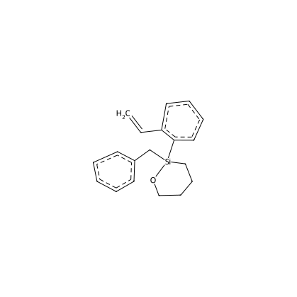 C=Cc1ccccc1[Si]1(Cc2ccccc2)CCCCO1